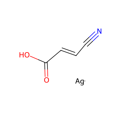 N#CC=CC(=O)O.[Ag]